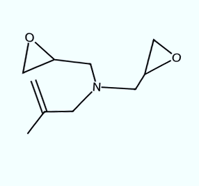 C=C(C)CN(CC1CO1)CC1CO1